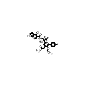 CCOc1c(CC(N)=O)cc([C@@](O)(CNC(=O)c2cnc3[nH]ccc3c2Cl)C(F)(F)F)nc1-c1ccc(F)cc1